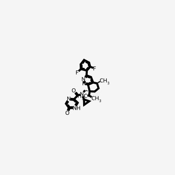 CC(C)[C@]1(CN(C(=O)c2c[nH]c(=O)cn2)C2CC2)CC[C@H](C)c2cc(-c3c(F)cccc3F)nnc21